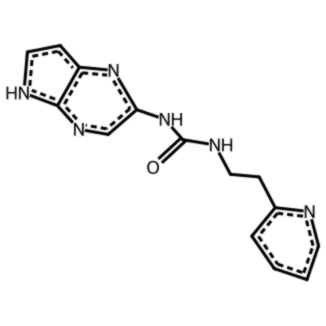 O=C(NCCc1ccccn1)Nc1cnc2[nH]ccc2n1